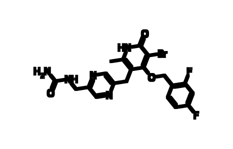 Cc1[nH]c(=O)c(Br)c(OCc2ccc(F)cc2F)c1Cc1cnc(CNC(N)=O)cn1